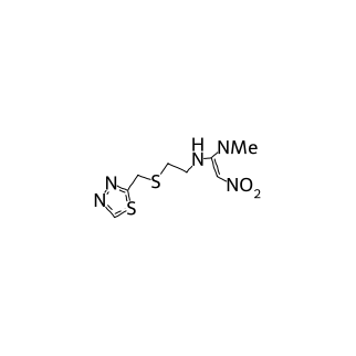 CNC(=C[N+](=O)[O-])NCCSCc1nncs1